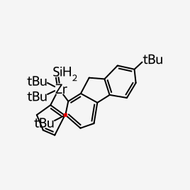 CC(C)(C)c1ccc2c(c1)Cc1c-2ccc(C(C)(C)C)[c]1[Zr](=[SiH2])([C]1=CC=CC1)([C](C)(C)C)[C](C)(C)C